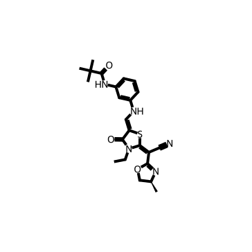 CCn1c(=C(C#N)C2=N[C@@H](C)CO2)sc(=CNc2cccc(NC(=O)C(C)(C)C)c2)c1=O